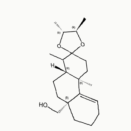 CC1[C@H]2CC[C@]3(CO)CCCC=C3[C@]2(C)CCC12O[C@H](C)[C@@H](C)O2